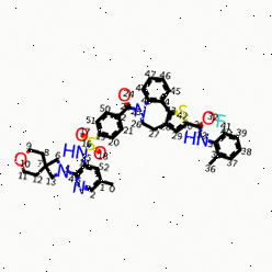 Cc1cnc(N2CC3(CCOCC3)C2)c(NS(=O)(=O)c2ccc(C(=O)N3CCc4cc(C(=O)Nc5c(C)cccc5F)sc4-c4ccccc43)cc2)c1